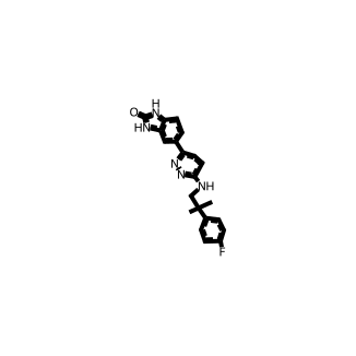 CC(C)(CNc1ccc(-c2ccc3[nH]c(=O)[nH]c3c2)nn1)c1ccc(F)cc1